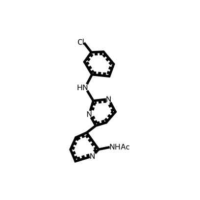 CC(=O)Nc1ncccc1-c1ccnc(Nc2cccc(Cl)c2)n1